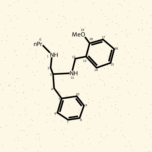 CCCNCC(Cc1ccccc1)NCc1ccccc1OC